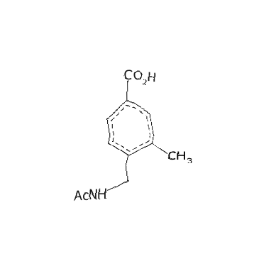 CC(=O)NCc1ccc(C(=O)O)cc1C